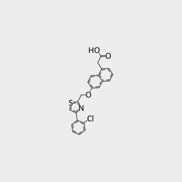 O=C(O)Cc1cccc2cc(OCc3nc(-c4ccccc4Cl)cs3)ccc12